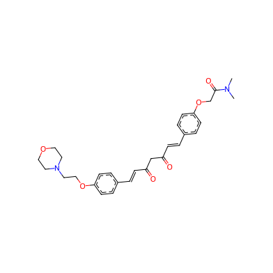 CN(C)C(=O)COc1ccc(C=CC(=O)CC(=O)C=Cc2ccc(OCCN3CCOCC3)cc2)cc1